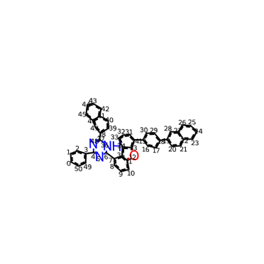 c1ccc(C2=NC(c3cccc4oc5c(-c6ccc(-c7ccc8ccccc8c7)cc6)cccc5c34)NC(c3ccc4ccccc4c3)=N2)cc1